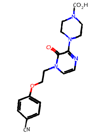 N#Cc1ccc(OCCn2ccnc(N3CCN(C(=O)O)CC3)c2=O)cc1